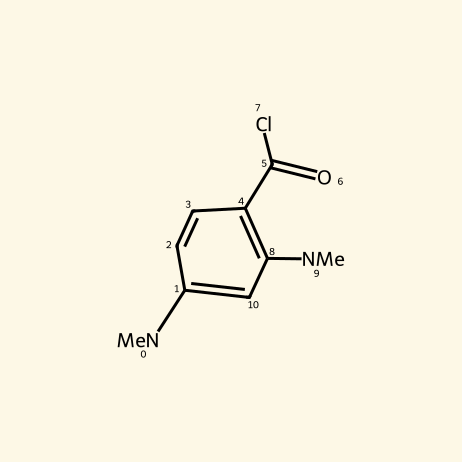 CNc1ccc(C(=O)Cl)c(NC)c1